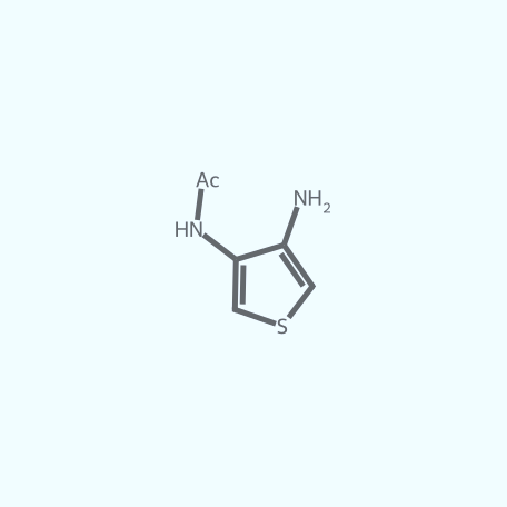 CC(=O)Nc1cscc1N